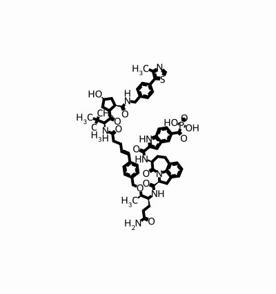 Cc1ncsc1-c1ccc(CNC(=O)[C@@H]2C[C@@H](O)CC2C(=O)[C@@H](NC(=O)CC/C=C/c2ccc(CO[C@H](C)[C@H](CCC(N)=O)NC(=O)[C@@H]3Cc4cccc5c4N3C(=O)[C@@H](NC(=O)c3cc4cc(C(=O)P(=O)(O)O)ccc4[nH]3)CC5)cc2)C(C)(C)C)cc1